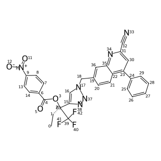 CC[C@](OC(=O)c1ccc([N+](=O)[O-])cc1)(c1cn(Cc2ccc3c(-c4ccccc4)cc(C#N)nc3c2)nn1)C(F)(F)F